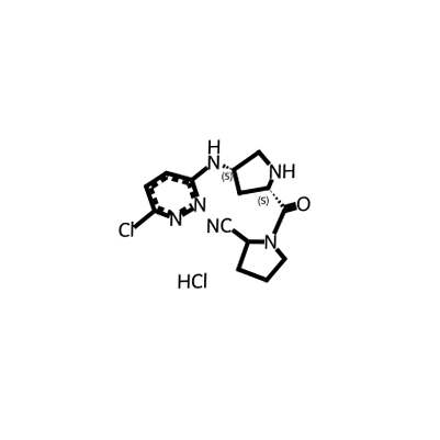 Cl.N#CC1CCCN1C(=O)[C@@H]1C[C@H](Nc2ccc(Cl)nn2)CN1